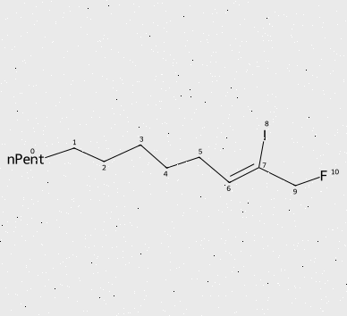 CCCCCCCCCCC=C(I)CF